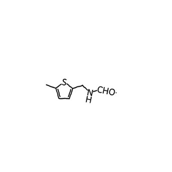 Cc1ccc(CN[C]=O)s1